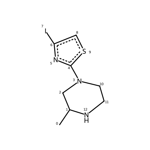 CC1CN(c2nc(I)cs2)CCN1